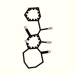 CCCC(c1ccccc1)c1c(O)c2c(oc1=O)CCCCCC2=O